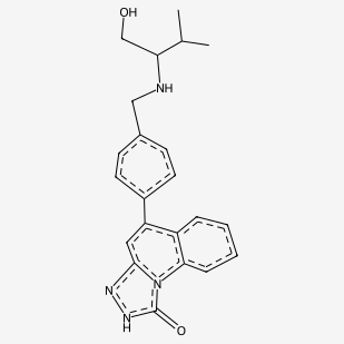 CC(C)C(CO)NCc1ccc(-c2cc3n[nH]c(=O)n3c3ccccc23)cc1